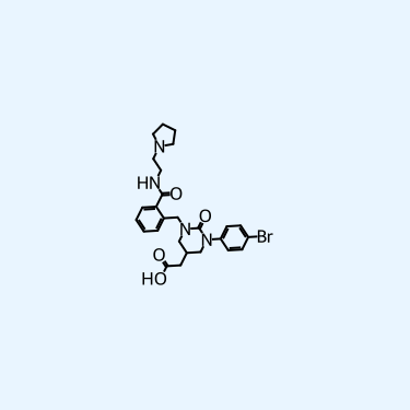 O=C(O)CC1CN(Cc2ccccc2C(=O)NCCN2CCCC2)C(=O)N(c2ccc(Br)cc2)C1